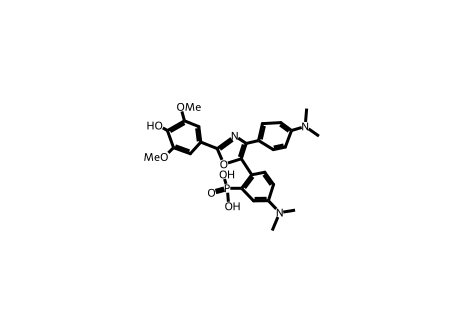 COc1cc(-c2nc(-c3ccc(N(C)C)cc3)c(-c3ccc(N(C)C)cc3P(=O)(O)O)o2)cc(OC)c1O